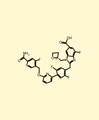 NC(=O)c1cc(F)c(COc2cccc(-c3cc(F)c(Cc4nc5c(F)cc(C(=O)O)cc5n4C[C@@H]4CCO4)cc3F)n2)cn1